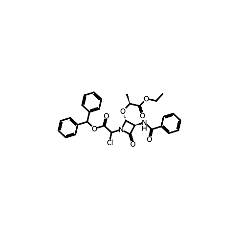 CCOC(=O)[C@H](C)O[C@@H]1[C@@H](NC(=O)c2ccccc2)C(=O)N1C(Cl)C(=O)OC(c1ccccc1)c1ccccc1